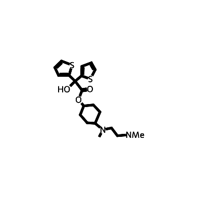 CNCCN(C)C1CCC(OC(=O)C(O)(c2cccs2)c2cccs2)CC1